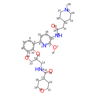 COc1nc(-c2cccc3c2OC(CNC(=O)C2CCOCC2)CO3)ccc1NC(=O)CC1CCN(C)CC1